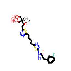 CC(CO)(CO)C(=O)Cc1nnc(CCCCc2nnc(NC(=O)Cc3cccc(F)c3)s2)s1